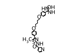 Cc1sc(NC(=O)c2cccnc2)nc1-c1ccc(OCCCCCOc2ccc(C(=N)NO)cc2)cc1